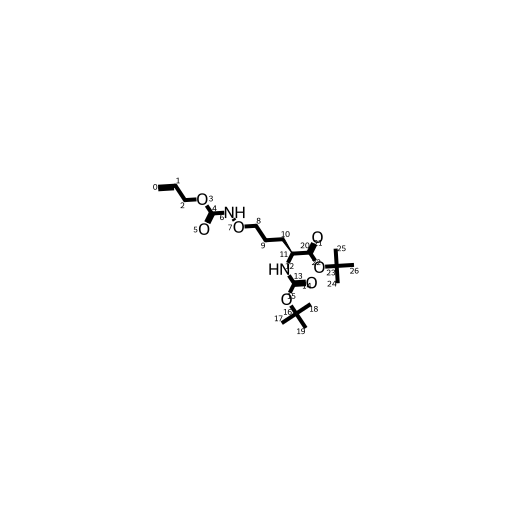 C=CCOC(=O)NOCCC[C@H](NC(=O)OC(C)(C)C)C(=O)OC(C)(C)C